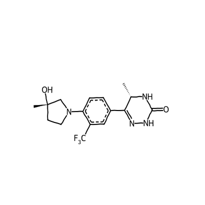 C[C@@H]1NC(=O)NN=C1c1ccc(N2CC[C@](C)(O)C2)c(C(F)(F)F)c1